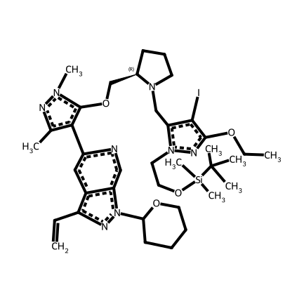 C=Cc1nn(C2CCCCO2)c2cnc(-c3c(C)nn(C)c3OC[C@H]3CCCN3Cc3c(I)c(OCC)nn3CCO[Si](C)(C)C(C)(C)C)cc12